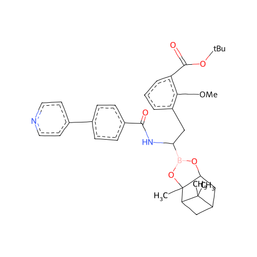 COc1c(CC(NC(=O)c2ccc(-c3ccncc3)cc2)B2OC3CC4CC(C4(C)C)C3(C)O2)cccc1C(=O)OC(C)(C)C